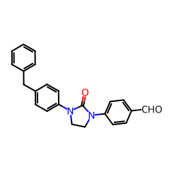 O=Cc1ccc(N2CCN(c3ccc(Cc4ccccc4)cc3)C2=O)cc1